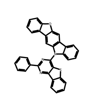 c1ccc(-c2nc(-n3c4ccccc4c4cc5oc6ccccc6c5cc43)c3sc4ccccc4c3n2)cc1